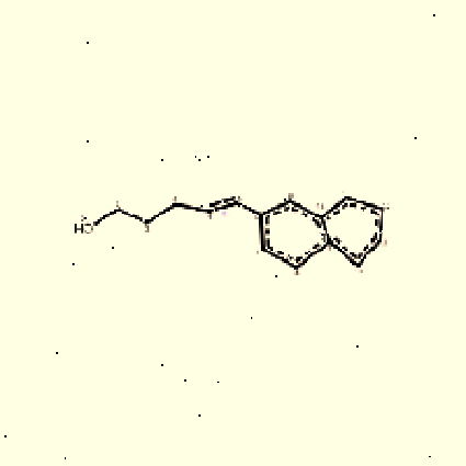 OCCC/C=C/c1ccc2ccccc2c1